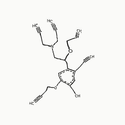 C#CCOc1cc(C(CN(CC#C)CC#C)OCC#C)c(C#C)cc1O